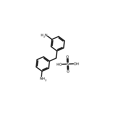 Nc1cccc(Cc2cccc(N)c2)c1.O=S(=O)(O)O